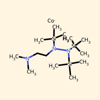 CN(C)CCN(N([Si](C)(C)C)[Si](C)(C)C)[Si](C)(C)C.[Co]